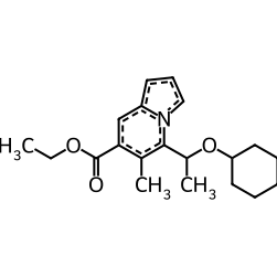 CCOC(=O)c1cc2cccn2c(C(C)OC2CCCCC2)c1C